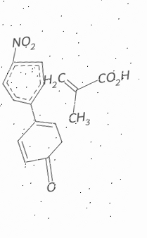 C=C(C)C(=O)O.O=C1C=CC(c2ccc([N+](=O)[O-])cc2)=CC1